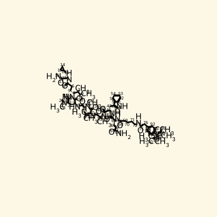 CC[C@H](C)[C@@H](CCC(=O)N[C@@H](CC1CC1)C(N)=O)NC(=O)[C@H](Cc1cncn1C)NC(=O)CN(C)C(=O)[C@@H](NC(=O)[C@H](C)NC(=O)[C@H](Cc1c[nH]c2ccccc12)NC(=O)[C@H](CCC(N)=O)NC(=O)CCCCNC(=O)Cc1ccc([Si](F)(C(C)(C)C)C(C)(C)C)cc1)C(C)C